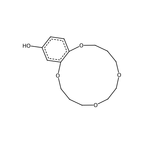 Oc1ccc2c(c1)OCCCOCCOCCCO2